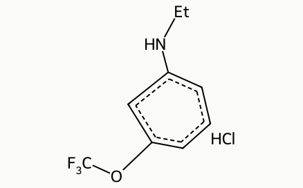 CCNc1cccc(OC(F)(F)F)c1.Cl